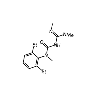 CCc1cccc(CC)c1N(C)C(=O)NC(=NC)NC